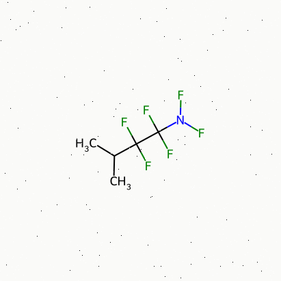 CC(C)C(F)(F)C(F)(F)N(F)F